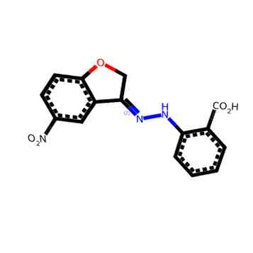 O=C(O)c1ccccc1N/N=C1\COc2ccc([N+](=O)[O-])cc21